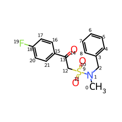 CN(Cc1ccccc1)S(=O)(=O)CC(=O)c1ccc(F)cc1